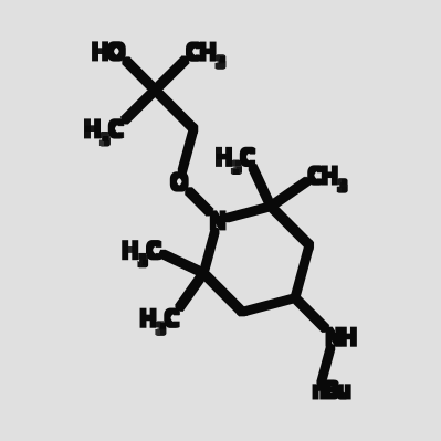 CCCCNC1CC(C)(C)N(OCC(C)(C)O)C(C)(C)C1